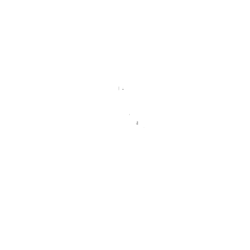 Br.CCCCCCCCC(N)(CCCCCC)CCCCCC